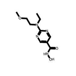 CCN(CCOC)c1ncc(C(=O)NO)cn1